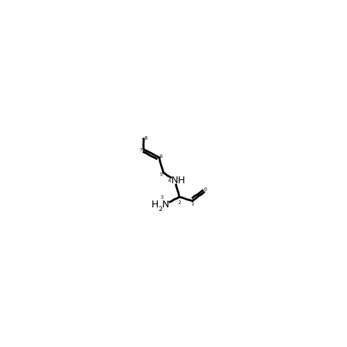 C=CC(N)NCC=CC